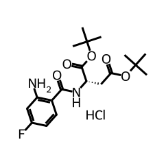 CC(C)(C)OC(=O)C[C@H](NC(=O)c1ccc(F)cc1N)C(=O)OC(C)(C)C.Cl